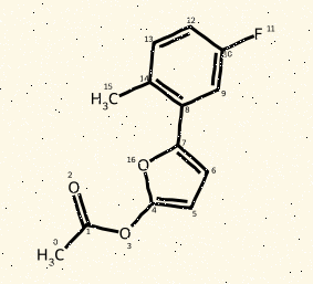 CC(=O)Oc1ccc(-c2cc(F)ccc2C)o1